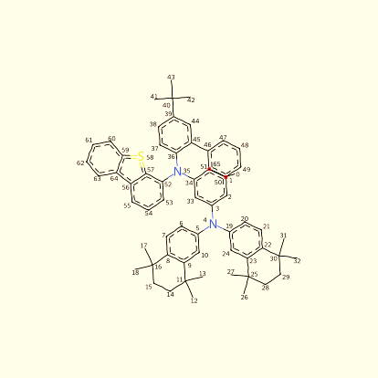 Cc1cc(N(c2ccc3c(c2)C(C)(C)CCC3(C)C)c2ccc3c(c2)C(C)(C)CCC3(C)C)cc(N(c2ccc(C(C)(C)C)cc2-c2ccccc2)c2cccc3c2sc2ccccc23)c1